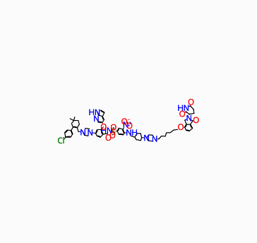 CC1(C)CCC(CN2CCN(c3ccc(C(=O)NS(=O)(=O)c4ccc(NCC5CCC(N6CCN(CCCCCCCOc7cccc8c7CN(C7CCC(=O)NC7=O)C8=O)CC6)CC5)c([N+](=O)[O-])c4)c(Oc4cnc5[nH]ccc5c4)c3)CC2)=C(c2ccc(Cl)cc2)C1